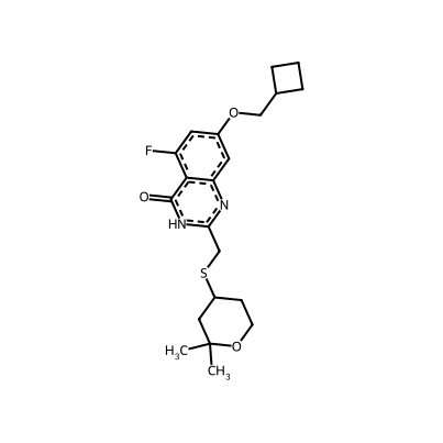 CC1(C)CC(SCc2nc3cc(OCC4CCC4)cc(F)c3c(=O)[nH]2)CCO1